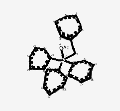 CC(=O)OP(Cc1ccccc1)(c1ccccc1)(c1ccccc1)c1ccccc1